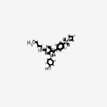 CCCCNc1ncc2c(-c3ccc(S(=O)(=O)N4CCC4)cc3)nn([C@H]3CC[C@H](O)CC3)c2n1